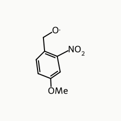 COc1ccc(C[O])c([N+](=O)[O-])c1